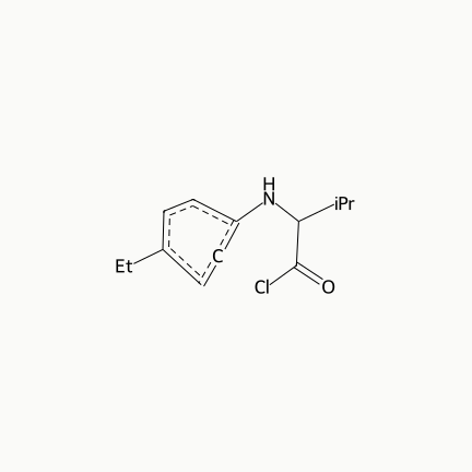 CCc1ccc(NC(C(=O)Cl)C(C)C)cc1